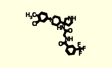 Cc1ccc(N2CCC([C@]3(NC(=O)CNC(=O)c4cccc(C(F)(F)F)c4)CCNC3)CC2)cc1Cl